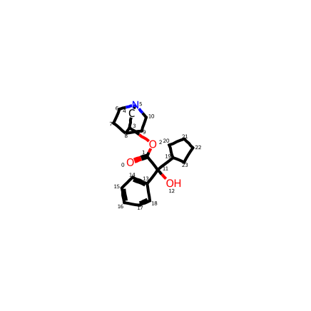 O=C(OC1CN2CCC1CC2)C(O)(c1ccccc1)C1CCCC1